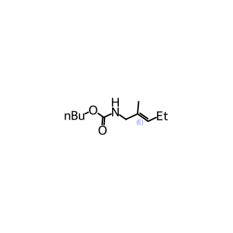 CC/C=C(\C)CNC(=O)OCCCC